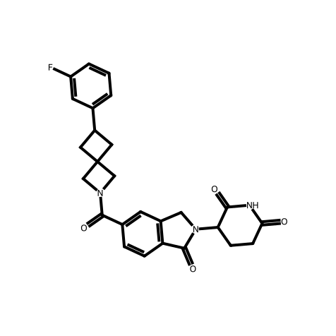 O=C1CCC(N2Cc3cc(C(=O)N4CC5(CC(c6cccc(F)c6)C5)C4)ccc3C2=O)C(=O)N1